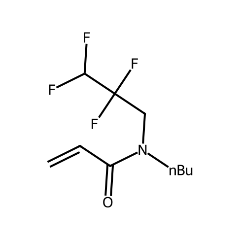 C=CC(=O)N(CCCC)CC(F)(F)C(F)F